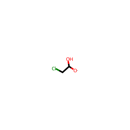 [O]C(O)CCl